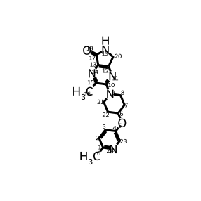 Cc1ccc(OC2CCN(c3nc4c(nc3C)C(=O)NC4)CC2)cn1